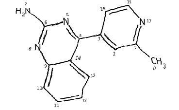 Cc1cc(-c2nc(N)nc3ccccc23)ccn1